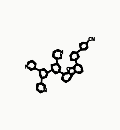 N#Cc1ccc(-c2cccc(-c3cccc4c3oc3c(-c5cc(-c6cccnc6)cc(-c6cc(-c7cccnc7)cc(-c7cccnc7)c6)c5)cccc34)c2)cc1